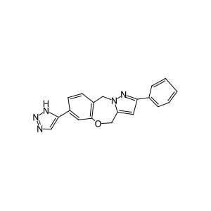 c1ccc(-c2cc3n(n2)Cc2ccc(-c4cnn[nH]4)cc2OC3)cc1